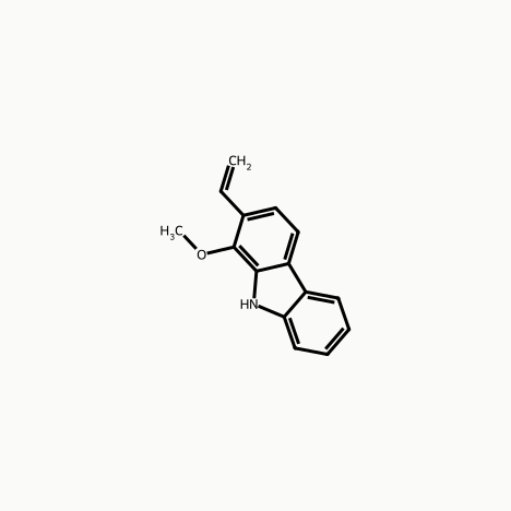 C=Cc1ccc2c([nH]c3ccccc32)c1OC